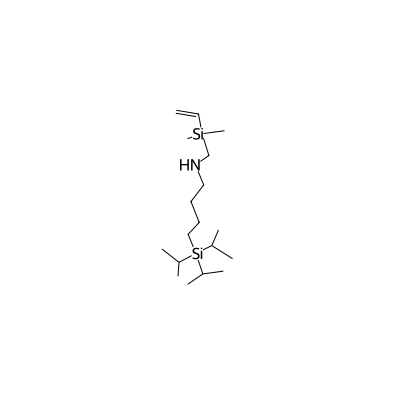 C=C[Si](C)(C)CNCCCC[Si](C(C)C)(C(C)C)C(C)C